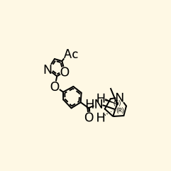 CC(=O)c1cnc(Oc2ccc(C(=O)N[C@@H]3C4CCN(CC4)[C@H]3C)cc2)o1